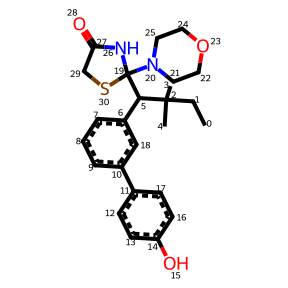 CCC(C)(C)C(c1cccc(-c2ccc(O)cc2)c1)C1(N2CCOCC2)NC(=O)CS1